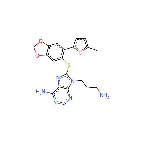 Cc1ccc(-c2cc3c(cc2Sc2nc4c(N)ncnc4n2CCCN)OCO3)o1